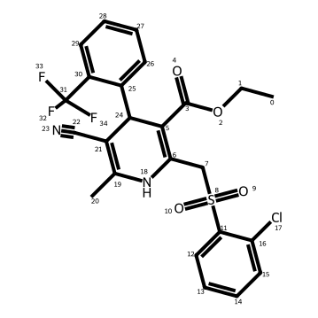 CCOC(=O)C1=C(CS(=O)(=O)c2ccccc2Cl)NC(C)=C(C#N)C1c1ccccc1C(F)(F)F